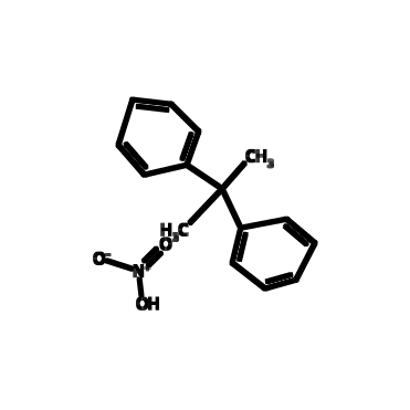 CC(C)(c1ccccc1)c1ccccc1.O=[N+]([O-])O